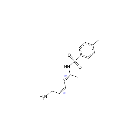 C/C(=N\C=C/CN)NS(=O)(=O)c1ccc(C)cc1